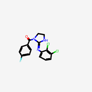 O=C(c1ccc(F)cc1)N1CCNC1=Nc1cccc(Cl)c1Cl